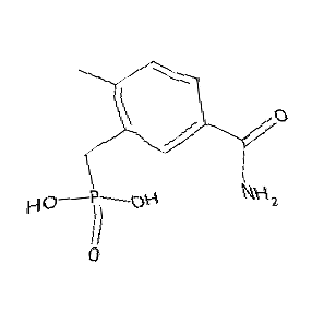 Cc1ccc(C(N)=O)cc1CP(=O)(O)O